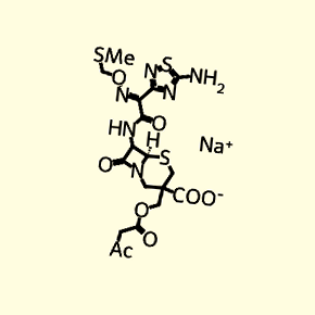 CSCON=C(C(=O)NC1C(=O)N2CC(COC(=O)CC(C)=O)(C(=O)[O-])CS[C@H]12)c1nsc(N)n1.[Na+]